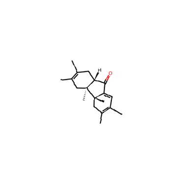 CC1=C(C)C[C@@]2(C)C(=C1)C(=O)[C@H]1CC(C)=C(C)C[C@@]12C